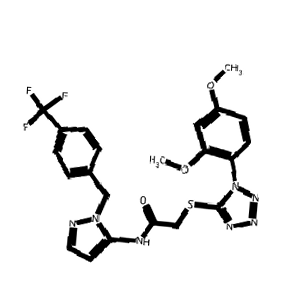 COc1ccc(-n2nnnc2SCC(=O)Nc2ccnn2Cc2ccc(C(F)(F)F)cc2)c(OC)c1